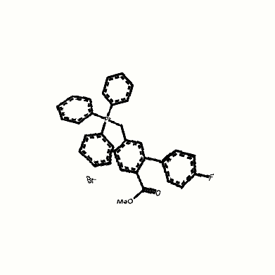 COC(=O)c1ccc(C[P+](c2ccccc2)(c2ccccc2)c2ccccc2)cc1-c1ccc(F)cc1.[Br-]